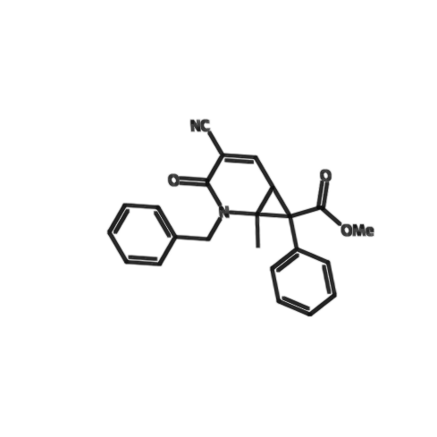 COC(=O)C1(c2ccccc2)C2C=C(C#N)C(=O)N(Cc3ccccc3)C21C